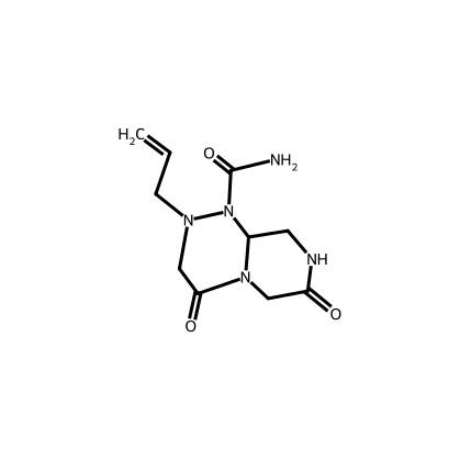 C=CCN1CC(=O)N2CC(=O)NCC2N1C(N)=O